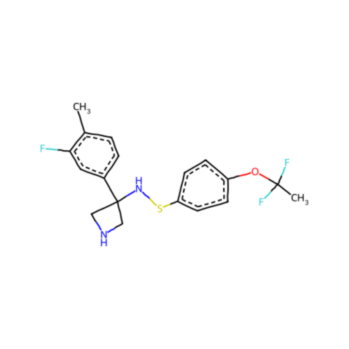 Cc1ccc(C2(NSc3ccc(OC(C)(F)F)cc3)CNC2)cc1F